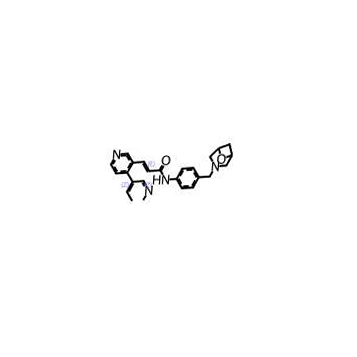 C/C=C(\C=N/C)c1ccncc1/C=C/C(=O)Nc1ccc(CN2CC3CC(C2)O3)cc1